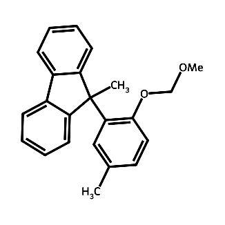 COCOc1ccc(C)cc1C1(C)c2ccccc2-c2ccccc21